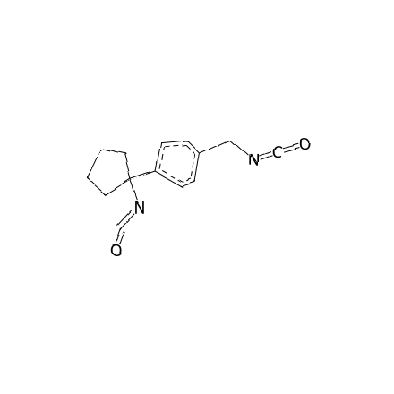 O=C=NCc1ccc(C2(N=C=O)CCCC2)cc1